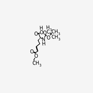 CCOC(=O)C=CCC[C@H](NC(=O)OC(C)(C)C)C(=O)O